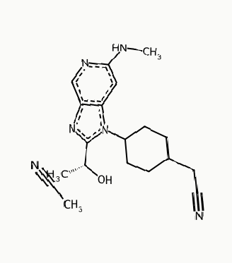 CC#N.CNc1cc2c(cn1)nc([C@@H](C)O)n2C1CCC(CC#N)CC1